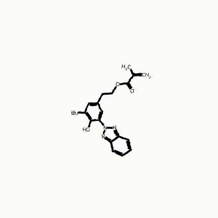 C=C(C)C(=O)OCCc1cc(-n2nc3ccccc3n2)c(O)c(C(C)(C)C)c1